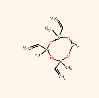 C=C[Si]1(C)O[SiH2]O[Si](C)(C=C)O[Si](C)(C=C)O1